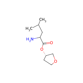 CC(C)CC(N)C(=O)O[C@H]1CCOC1